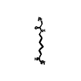 CC(C)CC(=O)NCCCCCCNC(C)C